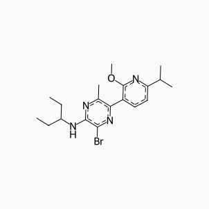 CCC(CC)Nc1nc(C)c(-c2ccc(C(C)C)nc2OC)nc1Br